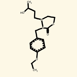 CCOc1ccc(CN2C(=O)SCCN2CCC(C)O)cc1